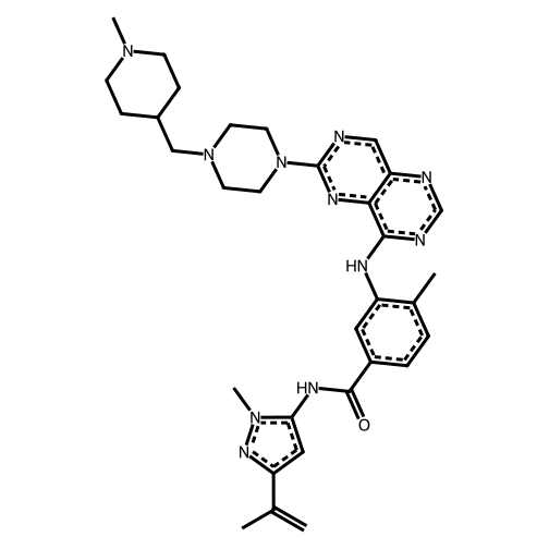 C=C(C)c1cc(NC(=O)c2ccc(C)c(Nc3ncnc4cnc(N5CCN(CC6CCN(C)CC6)CC5)nc34)c2)n(C)n1